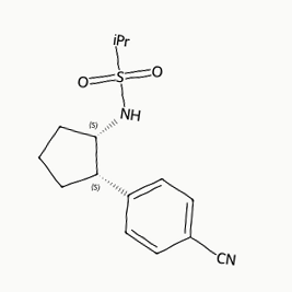 CC(C)S(=O)(=O)N[C@H]1CCC[C@H]1c1ccc(C#N)cc1